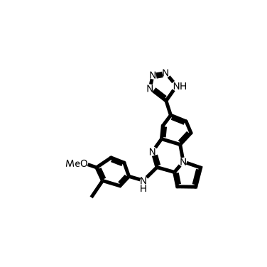 COc1ccc(Nc2nc3cc(-c4nnn[nH]4)ccc3n3cccc23)cc1C